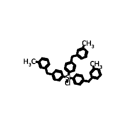 Cc1cccc(Cc2ccc([Si](Cl)(c3ccc(Cc4cccc(C)c4)cc3)c3ccc(Cc4cccc(C)c4)cc3)cc2)c1